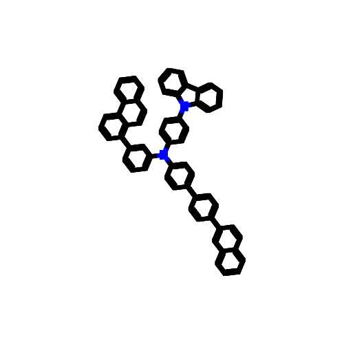 c1cc(-c2cccc3c2ccc2ccccc23)cc(N(c2ccc(-c3ccc(-c4ccc5ccccc5c4)cc3)cc2)c2ccc(-n3c4ccccc4c4ccccc43)cc2)c1